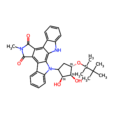 CN1C(=O)c2c(c3c4ccccc4n(C4C[C@H](O[Si](C)(C)C(C)(C)C)[C@@H](O)[C@H]4O)c3c3[nH]c4ccccc4c23)C1=O